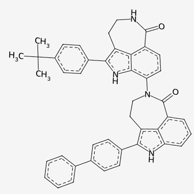 CC(C)(C)c1ccc(-c2[nH]c3c(N4CCc5c(-c6ccc(-c7ccccc7)cc6)[nH]c6cccc(c56)C4=O)ccc4c3c2CCNC4=O)cc1